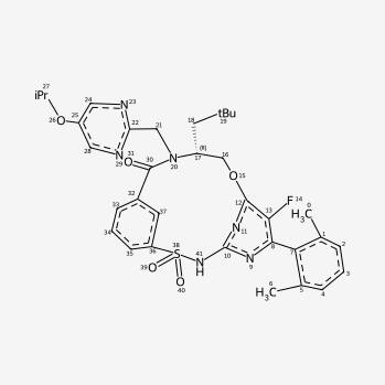 Cc1cccc(C)c1-c1nc2nc(c1F)OC[C@@H](CC(C)(C)C)N(Cc1ncc(OC(C)C)cn1)C(=O)c1cccc(c1)S(=O)(=O)N2